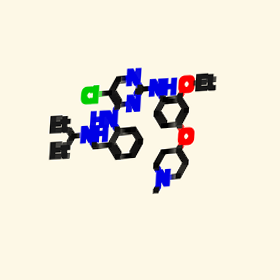 CCOc1cc(OC2CCN(C)CC2)ccc1Nc1ncc(Cl)c(Nc2ccccc2CNC(CC)CC)n1